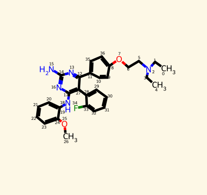 CCN(CC)CCOc1ccc(-c2nc(N)nc(Nc3ccccc3OC)c2-c2ccccc2F)cc1